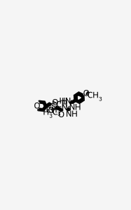 COc1ccc(C(=N)NC(=N)NC(=O)C(C)(C)S(=O)(=O)CC2(C)CCOCC2)cc1